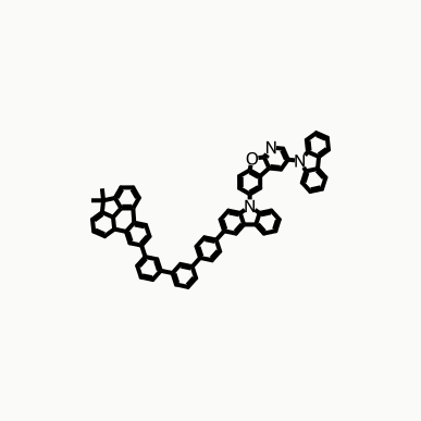 CC1(C)C2=CC=CC3c4cc(-c5cccc(-c6cccc(-c7ccc(-c8ccc9c(c8)c8ccccc8n9-c8ccc9oc%10ncc(-n%11c%12ccccc%12c%12ccccc%12%11)cc%10c9c8)cc7)c6)c5)ccc4-c4cccc1c4C23